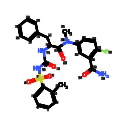 Cc1ccccc1S(=O)(=O)NC(=O)N[C@@H](Cc1ccccc1)C(=O)N(C)c1ccc(F)c(C(N)=O)c1